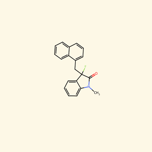 CN1C(=O)C(F)(Cc2cccc3ccccc23)c2ccccc21